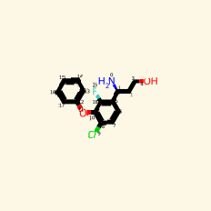 N[C@@H](CCO)c1ccc(Cl)c(Oc2ccccc2)c1F